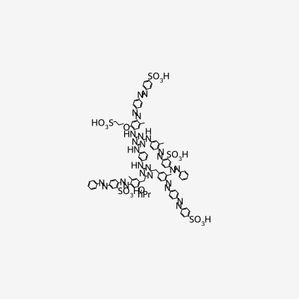 CCCOc1cc(N=Nc2ccc(N=Nc3ccccc3)cc2S(=O)(=O)O)c(C)cc1Cc1nc(Cc2ccc(N=Nc3ccc(N=Nc4ccc(S(=O)(=O)O)cc4)cc3)c(C)c2)nc(Nc2cccc(Nc3nc(Nc4ccc(N=Nc5ccc(N=Nc6ccccc6)cc5S(=O)(=O)O)c(C)c4)nc(Nc4cc(C)c(N=Nc5ccc(N=Nc6ccc(S(=O)(=O)O)cc6)cc5)cc4OCCCS(=O)(=O)O)n3)c2)n1